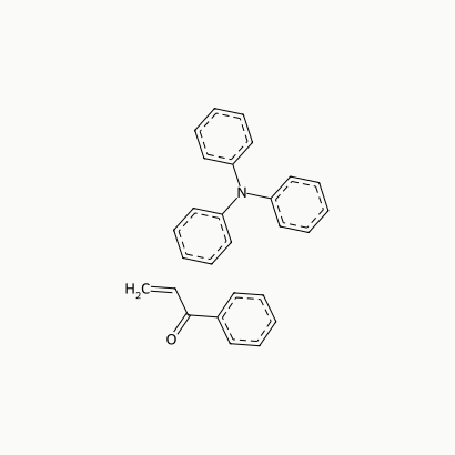 C=CC(=O)c1ccccc1.c1ccc(N(c2ccccc2)c2ccccc2)cc1